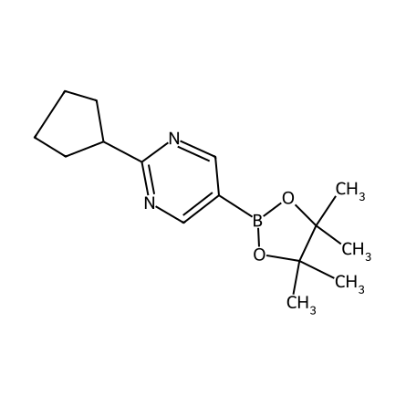 CC1(C)OB(c2cnc(C3CCCC3)nc2)OC1(C)C